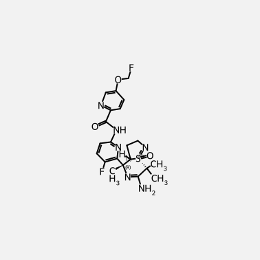 CC1(C)C(N)=N[C@](C)(c2nc(NC(=O)c3ccc(OCF)cn3)ccc2F)[C@@H]2CCN=[S@@]21=O